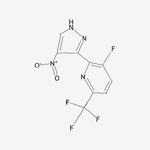 O=[N+]([O-])c1c[nH]nc1-c1nc(C(F)(F)F)ccc1F